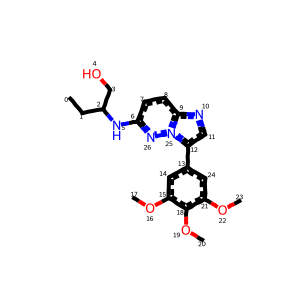 CCC(CO)Nc1ccc2ncc(-c3cc(OC)c(OC)c(OC)c3)n2n1